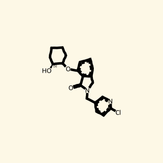 O=C1c2c(cccc2OC2CCCC[C@@H]2O)CN1Cc1ccc(Cl)nc1